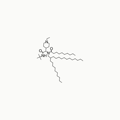 CCCCCCCCCCCCC(CCCCCCCCCC)CN(C(=O)CCCCCCCCC)C(C(=O)NC(C)(C)C)C1CCN(CC)CC1